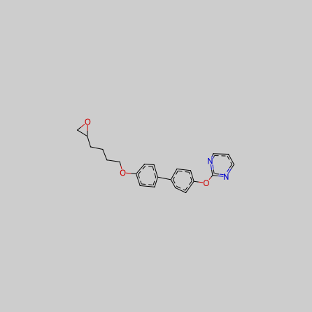 c1cnc(Oc2ccc(-c3ccc(OCCCCC4CO4)cc3)cc2)nc1